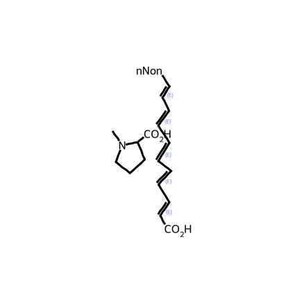 CCCCCCCCC/C=C/C=C/C=C/C=C/C=C/C(=O)O.CN1CCCC1C(=O)O